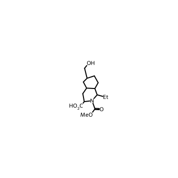 CCC1C2CCC(CO)CC2CC(C(=O)O)N1C(=O)OC